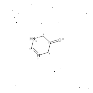 O=C1CN=CNC1